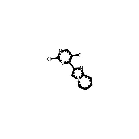 Clc1ncc(Cl)c(-c2cn3ccccc3n2)n1